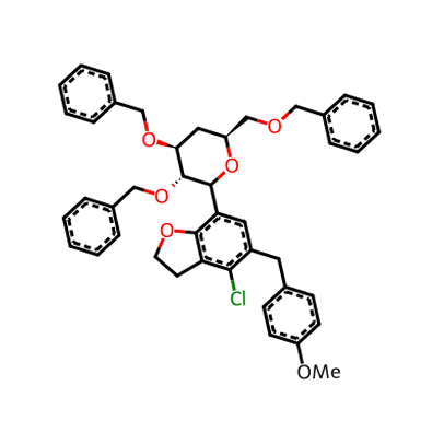 COc1ccc(Cc2cc(C3O[C@H](COCc4ccccc4)C[C@H](OCc4ccccc4)[C@H]3OCc3ccccc3)c3c(c2Cl)CCO3)cc1